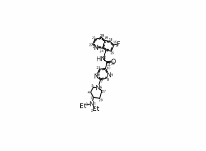 CCN(CC)C1CCN(c2cnc(C(=O)Nc3cc(F)cc4cccnc34)cn2)CC1